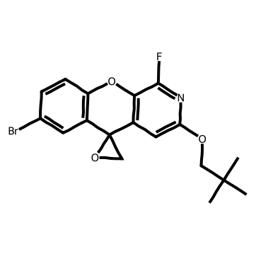 CC(C)(C)COc1cc2c(c(F)n1)Oc1ccc(Br)cc1C21CO1